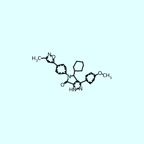 COc1ccc(-c2n[nH]c3c2C(C2CCCCC2)N(c2ccc(-c4cc(C)no4)cc2)C3=O)cc1